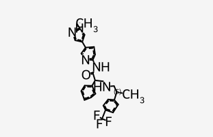 C[C@H](CNCC(C(=O)Nc1ccc(-c2cnn(C)c2)cn1)c1ccccc1)c1ccc(C(F)(F)F)cc1